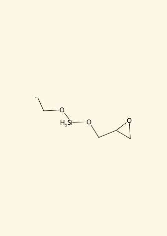 [CH2]CO[SiH2]OCC1CO1